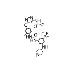 Cc1cc(Oc2cc(NC(=O)C3CC3)ncn2)ccc1NC(=O)Nc1cc(NC2CCN(C)CC2)cc(C(F)(F)F)c1